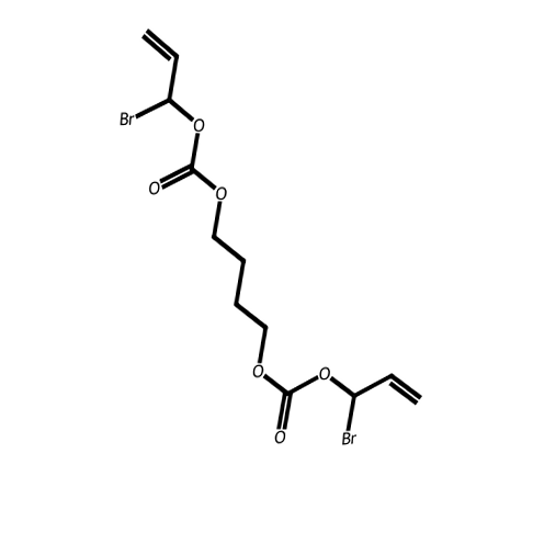 C=CC(Br)OC(=O)OCCCCOC(=O)OC(Br)C=C